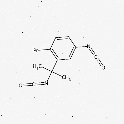 CC(C)c1ccc(N=C=O)cc1C(C)(C)N=C=O